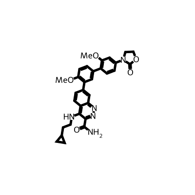 COc1cc(N2CCOC2=O)ccc1-c1ccc(OC)c(-c2ccc3c(NCCC4CC4)c(C(N)=O)nnc3c2)c1